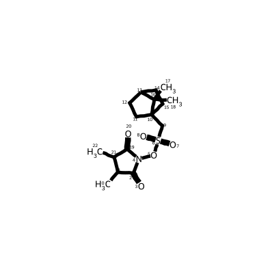 CC1C(=O)N(OS(=O)(=O)CC23CCC(CC2)C3(C)C)C(=O)C1C